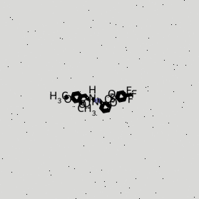 COc1ccc(CC(=O)N/N=C/c2ccccc2OS(=O)(=O)c2ccc(C(F)(F)F)cc2)c(OC)c1